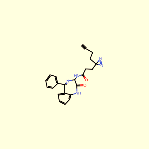 C#CCCC1(CCC(=O)NC2N=C(c3ccccc3)c3ccccc3NC2=O)N=N1